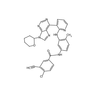 C#Cc1cc(C(=O)Nc2ccc(C)c(Nc3ncccc3-c3ncnc4c3ncn4C3CCCCO3)c2)ccc1Cl